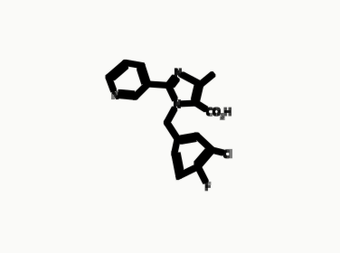 Cc1nc(-c2cccnc2)n(Cc2ccc(F)c(Cl)c2)c1C(=O)O